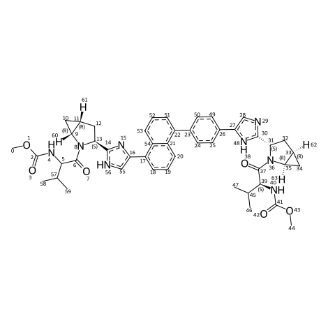 COC(=O)NC(C(=O)N1[C@@H]2C[C@@H]2C[C@H]1c1nc(-c2cccc3c(-c4ccc(-c5cnc([C@@H]6C[C@H]7C[C@H]7N6C(=O)[C@@H](NC(=O)OC)C(C)C)[nH]5)cc4)cccc23)c[nH]1)C(C)C